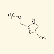 COCC1=NC(C)CN1